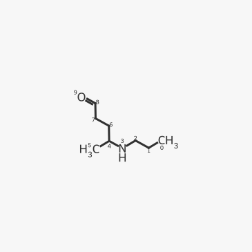 CCCNC(C)CCC=O